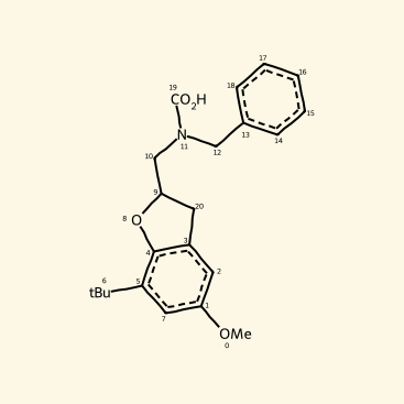 COc1cc2c(c(C(C)(C)C)c1)OC(CN(Cc1ccccc1)C(=O)O)C2